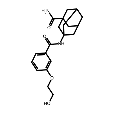 NC(=O)C12CC3CC(CC(NC(=O)c4cccc(OCCO)c4)(C3)C1)C2